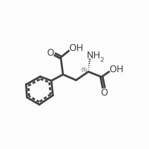 N[C@@H](CC(C(=O)O)c1ccccc1)C(=O)O